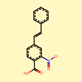 O=C(O)c1ccc(/C=C/c2ccccc2)cc1[N+](=O)[O-]